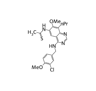 CCCc1c(OC)c(NC(C)=S)cc2c(NCc3ccc(OC)c(Cl)c3)ncnc12